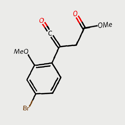 COC(=O)CC(=C=O)c1ccc(Br)cc1OC